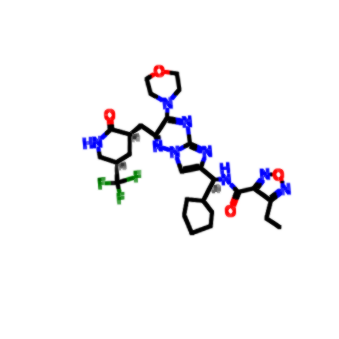 CCc1nonc1C(=O)N[C@H](c1cn2nc(C[C@H]3C[C@@H](C(F)(F)F)CNC3=O)c(N3CCOCC3)nc2n1)C1CCCCC1